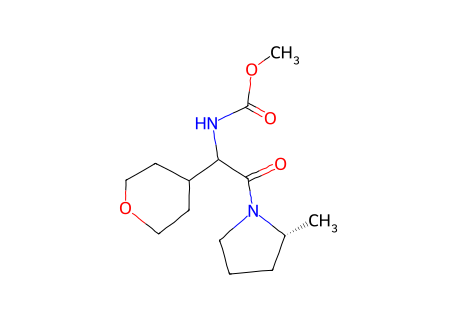 COC(=O)NC(C(=O)N1CCC[C@H]1C)C1CCOCC1